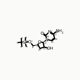 CC(C)(C)[Si](C)(C)OC[C@@H]1CC(O)[C@H](n2ccc(N)nc2=O)O1